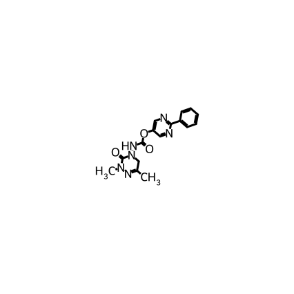 CC1=NN(C)C(=O)N(NC(=O)Oc2cnc(-c3ccccc3)nc2)C1